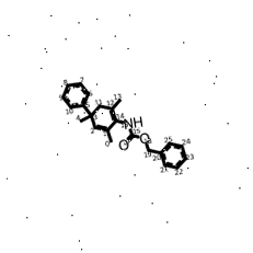 CC1=CC(C)(c2ccccc2)CC(C)=C1NC(=O)OCc1ccccc1